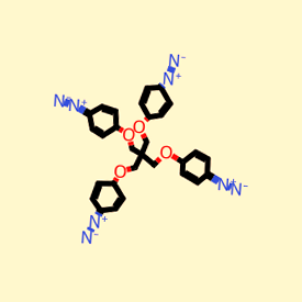 [N-]=[N+]=C1C=CC(OCC(COC2C=CC(=[N+]=[N-])C=C2)(COC2C=CC(=[N+]=[N-])C=C2)COC2C=CC(=[N+]=[N-])C=C2)C=C1